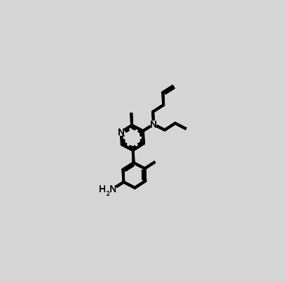 C=CCCN(CCC)c1cc(C2=CC(N)CC=C2C)cnc1C